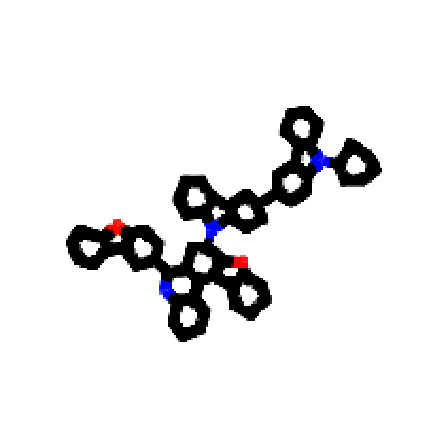 c1ccc(-n2c3ccccc3c3cc(-c4ccc5c(c4)c4ccccc4n5-c4cc5c(-c6ccc7oc8ccccc8c7c6)nc6ccccc6c5c5c4oc4ccccc45)ccc32)cc1